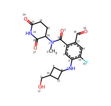 CN(C(=O)c1cc(NC2CC(CO)C2)c(F)cc1C=O)C1CCC(=O)NC1=O